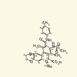 Cc1ccc(NC(=O)c2c(C)c(-c3ccc4c(c3)NCCO4)c(C(OC(C)(C)C)C(=O)O)c(C)c2NS(C)(=O)=O)cc1